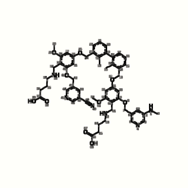 CNc1cncc(COc2cc(OCc3cccc(-c4cccc(COc5cc(OC)c(CNCCCC(=O)O)c(OCc6cncc(C#N)c6)c5)c4C)c3C)cc(OC)c2CNCCCC(=O)O)c1